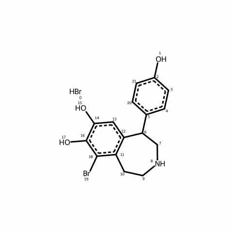 Br.Oc1ccc(C2CNCCc3c2cc(O)c(O)c3Br)cc1